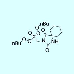 CCCCOOP(=O)(CN1C(=O)NC2(CCCCC2)C1=O)OOCCCC